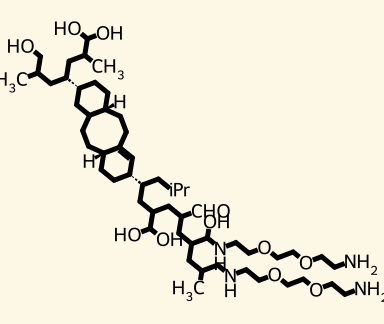 CC(C)CC(CC(CC(C=O)CC(CC(C)CNCCOCCOCCN)C(O)NCCOCCOCCN)C(O)O)[C@H]1C=C2CC[C@H]3CC[C@@H](C(CC(C)CO)CC(C)C(O)O)CC3CC[C@H]2CC1